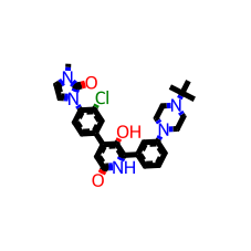 Cn1ccn(-c2ccc(-c3cc(=O)[nH]c(-c4cccc(N5CCN(C(C)(C)C)CC5)c4)c3O)cc2Cl)c1=O